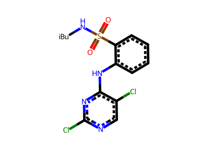 CCC(C)NS(=O)(=O)c1ccccc1Nc1nc(Cl)ncc1Cl